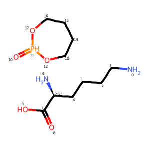 NCCCC[C@H](N)C(=O)O.O=[PH]1OCCCCO1